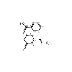 C/C=C/[C@@H]1OC(=O)CC[C@@H]1c1ccccc1C(=O)O